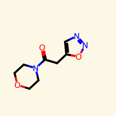 O=C(Cc1cnno1)N1CCOCC1